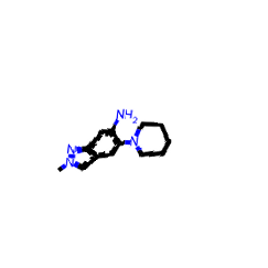 Cn1cc2cc(N3CCCCC3)c(N)cc2n1